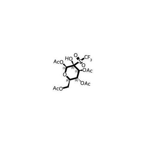 CC(=O)OC[C@H]1O[C@@H](OC(C)=O)[C@](O)(S(=O)(=O)C(F)(F)F)[C@@H](OC(C)=O)[C@@H]1OC(C)=O